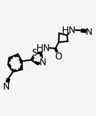 N#CNC1CC(C(=O)Nc2ncc(-c3cccc(C#N)c3)s2)C1